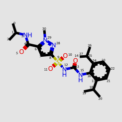 CC(C)NC(=O)c1cc(S(=O)(=O)NC(=O)Nc2c(C(C)C)cccc2C(C)C)nn1C